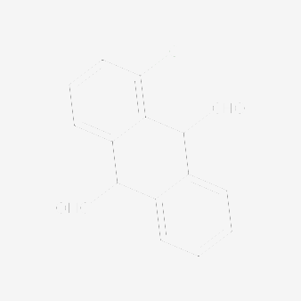 O=CC1c2ccccc2C(C=O)c2c(Cl)cccc21